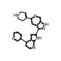 C1=C(c2cc3c(-c4cc5c(-c6cccnc6)ccnc5[nH]4)n[nH]c3cn2)CCNC1